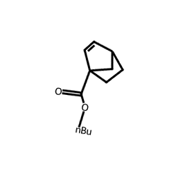 CCCCOC(=O)C12C=CC(CC1)C2